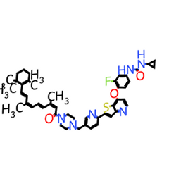 CC(C=CC1=C(C)CCCC1(C)C)=CC=CC(C)=CC(=O)N1CCN(Cc2ccc(-c3cc4nccc(Oc5ccc(NC(=O)NC6CC6)cc5F)c4s3)nc2)CC1